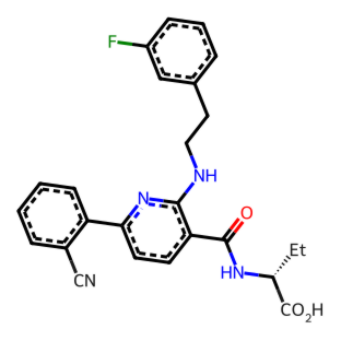 CC[C@@H](NC(=O)c1ccc(-c2ccccc2C#N)nc1NCCc1cccc(F)c1)C(=O)O